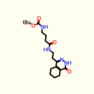 CC(C)(C)OC(=O)NCCCC(=O)NCCc1n[nH]c(=O)c2c1CCCC2